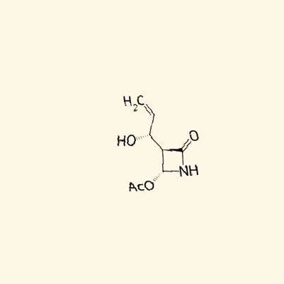 C=C[C@@H](O)[C@H]1C(=O)N[C@@H]1OC(C)=O